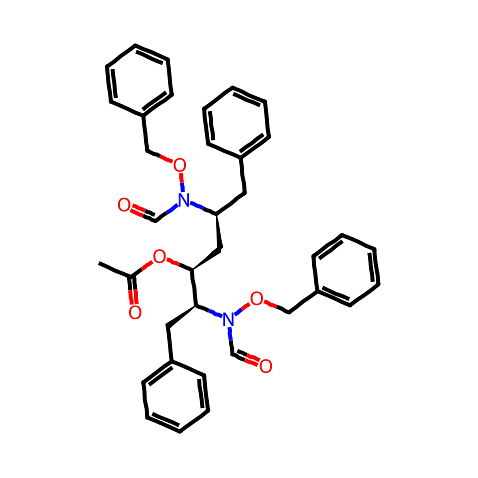 CC(=O)O[C@@H](C[C@H](Cc1ccccc1)N(C=O)OCc1ccccc1)[C@H](Cc1ccccc1)N(C=O)OCc1ccccc1